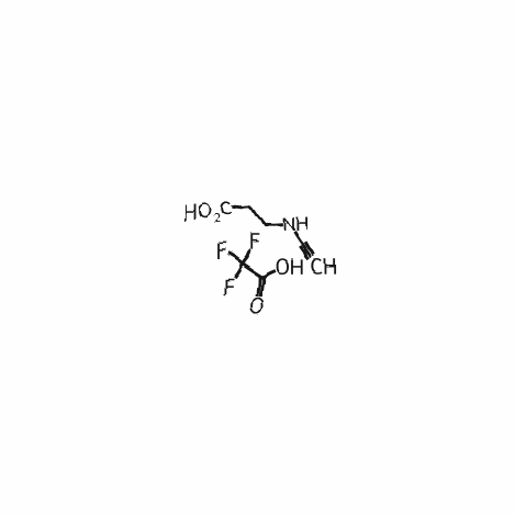 C#CNCCC(=O)O.O=C(O)C(F)(F)F